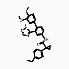 CCc1ccc(C2(C(=O)Nc3ccc(-c4ccc(OC)c(OC)c4)c(-c4nnn[nH]4)c3)CC2)cc1